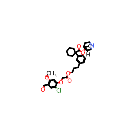 COc1cc(OCC(=O)OCCCc2cccc(C3(C(=O)O[C@H]4CN5CCC4CC5)CCCCC3)c2)c(Cl)cc1C=O